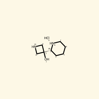 Cl.OC1([C@H]2CCCCN2)CNC1